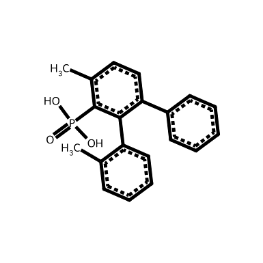 Cc1ccccc1-c1c(-c2ccccc2)ccc(C)c1P(=O)(O)O